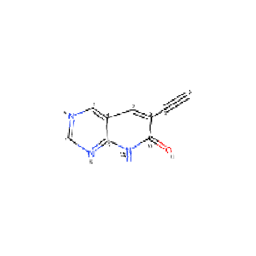 C#Cc1cc2cncnc2[nH]c1=O